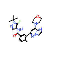 Cc1ccc(C(=O)Nc2cnn(C(C)(C)C)c2F)cc1-c1cc(N2CCOCC2)c2nccn2n1